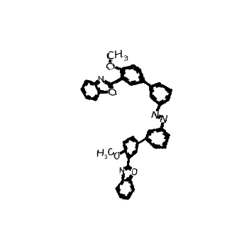 COc1ccc(-c2cccc(/N=N/c3cccc(-c4ccc(OC)c(-c5nc6ccccc6o5)c4)c3)c2)cc1-c1nc2ccccc2o1